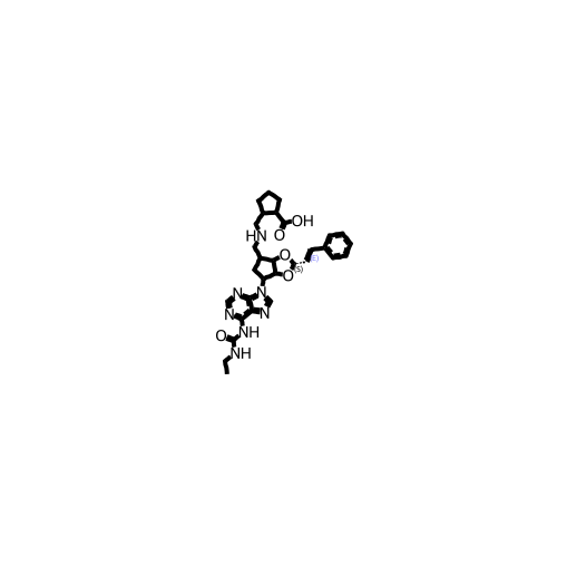 CCNC(=O)Nc1ncnc2c1ncn2C1CC(CNCC2CCCC2C(=O)O)C2O[C@H](/C=C/c3ccccc3)OC21